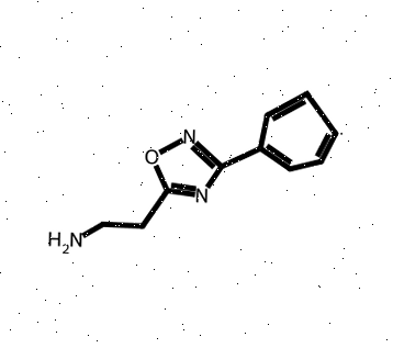 NCCc1nc(-c2cc[c]cc2)no1